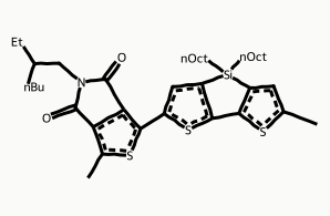 CCCCCCCC[Si]1(CCCCCCCC)c2cc(C)sc2-c2sc(-c3sc(C)c4c3C(=O)N(CC(CC)CCCC)C4=O)cc21